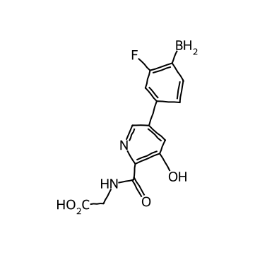 Bc1ccc(-c2cnc(C(=O)NCC(=O)O)c(O)c2)cc1F